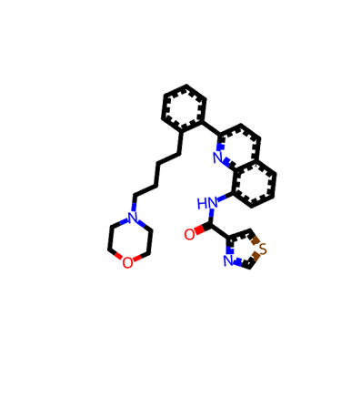 O=C(Nc1cccc2ccc(-c3ccccc3CCCCN3CCOCC3)nc12)c1cscn1